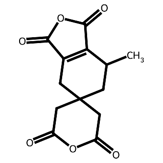 CC1CC2(CC(=O)OC(=O)C2)CC2=C1C(=O)OC2=O